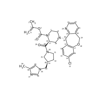 C=C(C)OC(=O)N1CCN([C@H]2c3ccc(Cl)cc3OCc3cccnc32)C[C@H]1C(=O)N1CC[C@@H](Cn2cnc(C)c2)C1